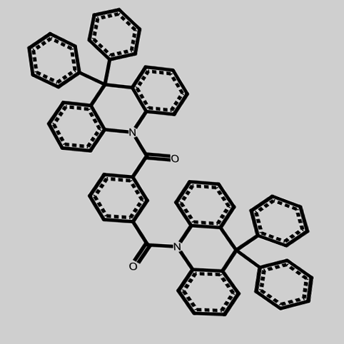 O=C(c1cccc(C(=O)N2c3ccccc3C(c3ccccc3)(c3ccccc3)c3ccccc32)c1)N1c2ccccc2C(c2ccccc2)(c2ccccc2)c2ccccc21